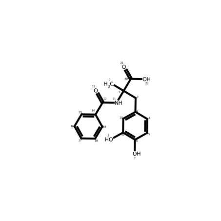 CC(Cc1ccc(O)c(O)c1)(NC(=O)c1ccccc1)C(=O)O